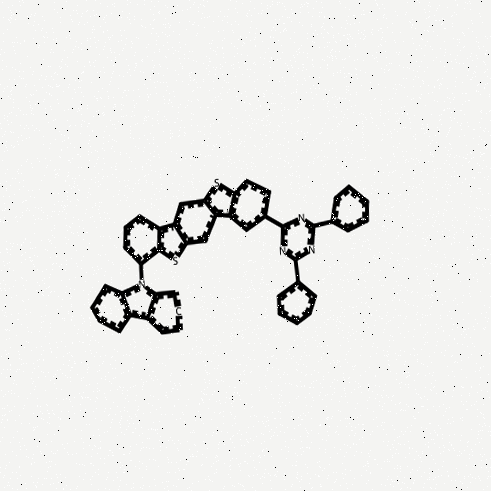 c1ccc(-c2nc(-c3ccccc3)nc(-c3ccc4sc5cc6c(cc5c4c3)sc3c(-n4c5ccccc5c5ccccc54)cccc36)n2)cc1